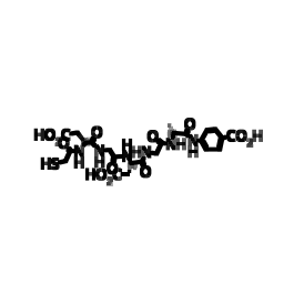 C[C@@H](NC(=O)CNC(=O)[C@H](CC(=O)O)NC(=O)CNC(=O)[C@H](CC(=O)O)NC(=O)CS)C(=O)Nc1ccc(C(=O)O)cc1